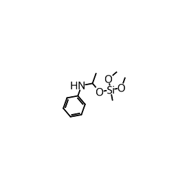 CO[Si](C)(OC)OC(C)Nc1ccccc1